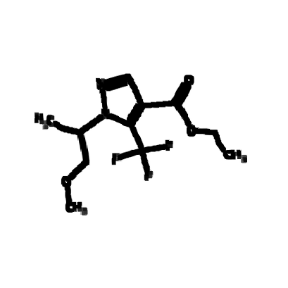 CCOC(=O)c1cnn(C(C)COC)c1C(F)(F)F